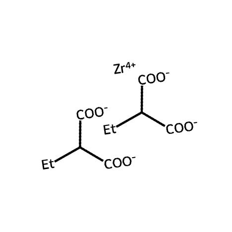 CCC(C(=O)[O-])C(=O)[O-].CCC(C(=O)[O-])C(=O)[O-].[Zr+4]